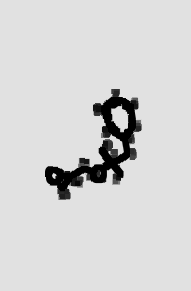 CC(C)(Cc1ccccc1)OCC1CO1